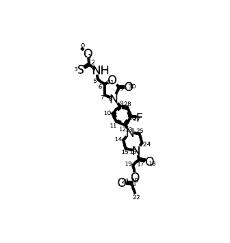 COC(=S)NCC1CN(c2ccc(N3CCN(C(=O)COC(C)=O)CC3)c(F)c2)C(=O)O1